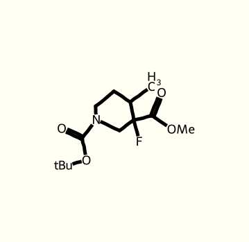 COC(=O)C1(F)CN(C(=O)OC(C)(C)C)CCC1C